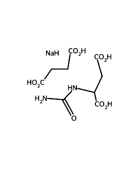 NC(=O)NC(CC(=O)O)C(=O)O.O=C(O)CCC(=O)O.[NaH]